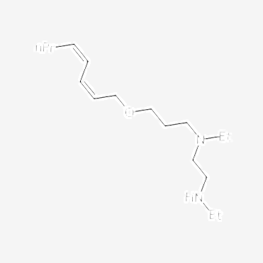 CCC/C=C\C=C/COCCCN(CC)CCNCC